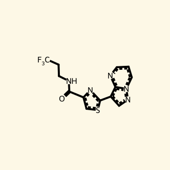 O=C(NCCC(F)(F)F)c1csc(-c2cnn3cccnc23)n1